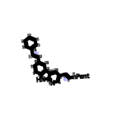 CCCCC/C=C/c1cnc2[nH]c3ccc(/C=C/c4ccccc4)cc3c2c1